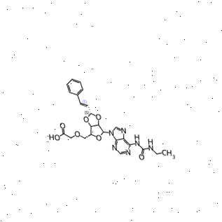 CCNC(=O)Nc1ncnc2c1ncn2C1OC(COCC(=O)O)C2O[C@H](/C=C/c3ccccc3)OC21